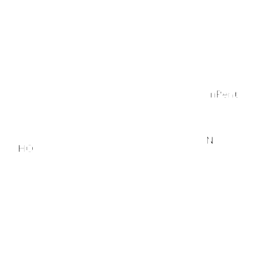 CCCCCC(CCCc1ccc(O)cc1)CN(C)C